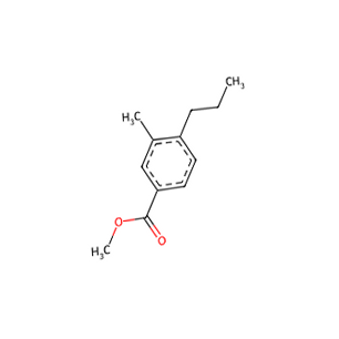 CCCc1ccc(C(=O)OC)cc1C